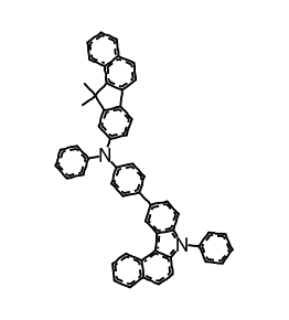 CC1(C)c2cc(N(c3ccccc3)c3ccc(-c4ccc5c(c4)c4c6ccccc6ccc4n5-c4ccccc4)cc3)ccc2-c2ccc3ccccc3c21